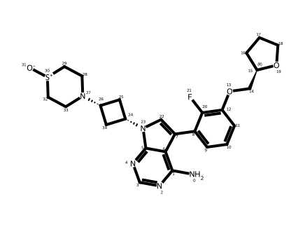 Nc1ncnc2c1c(-c1cccc(OC[C@H]3CCCO3)c1F)cn2[C@H]1C[C@@H](N2CC[S+]([O-])CC2)C1